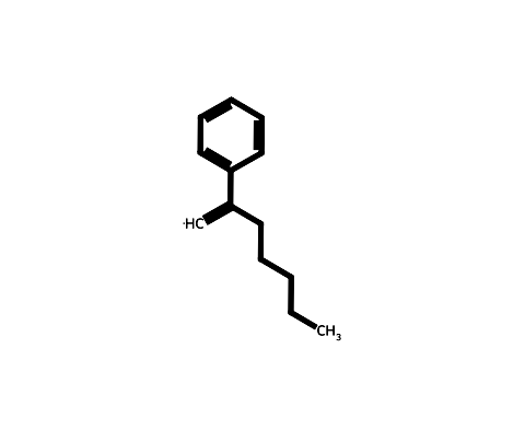 [CH]=C(CCCCC)c1ccccc1